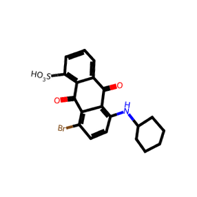 O=C1c2c(cccc2S(=O)(=O)O)C(=O)c2c(NC3CCCCC3)ccc(Br)c21